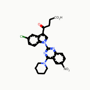 O=C(O)CCC(=O)c1cn(-c2nc(N3CCCCC3)c3cc([N+](=O)[O-])ccc3n2)c2ccc(Cl)cc12